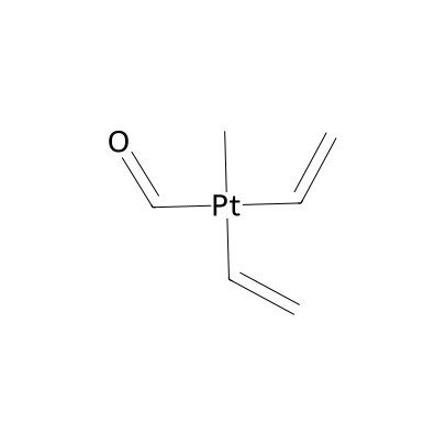 C=[CH][Pt]([CH3])([CH]=C)[CH]=O